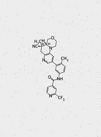 Cc1ccc(NC(=O)c2ccnc(C(F)(F)F)c2)cc1-c1cnc2c(c1)N1CCOC[C@H]1[C@](C)(C#N)C2